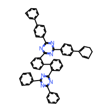 C1=CC(c2ccc(-c3nc(-c4ccc(-c5ccccc5)cc4)nc(-c4ccccc4-c4ccccc4-c4nc(-c5ccccc5)nc(-c5ccccc5)n4)n3)cc2)=CCC1